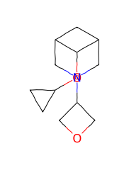 C1CC1OC1C2CC1CN(C1COC1)C2